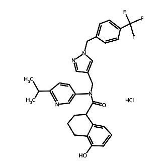 CC(C)c1ccc(N(Cc2cnn(Cc3ccc(C(F)(F)F)cc3)c2)C(=O)C2CCCc3c(O)cccc32)cn1.Cl